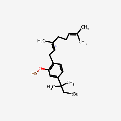 CC(C)=CCC/C(C)=C/Cc1ccc(C(C)(C)CC(C)(C)C)cc1OS